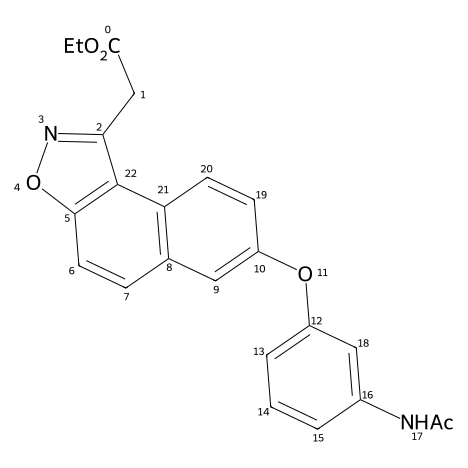 CCOC(=O)Cc1noc2ccc3cc(Oc4cccc(NC(C)=O)c4)ccc3c12